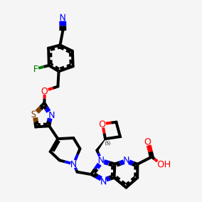 N#Cc1ccc(COc2nc(C3=CCN(Cc4nc5ccc(C(=O)O)nc5n4C[C@@H]4CCO4)CC3)cs2)c(F)c1